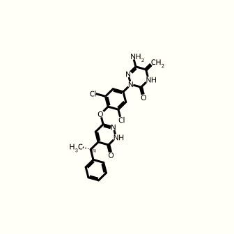 C=C1NC(=O)N(c2cc(Cl)c(Oc3cc([C@@H](C)c4ccccc4)c(=O)[nH]n3)c(Cl)c2)N=C1N